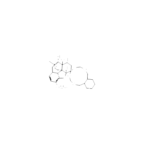 COC1=C2O[C@H]3C4(CCC5(O)[C@H]6CC(C=C1)C2[C@@]35CCN6C)OCOCC1CCCCC1COCO4